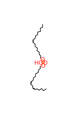 CCCCC/C=C\C/C=C\CCCCCCCCOP(=O)(O)OCCCCCCCC/C=C\CCCCCCCC